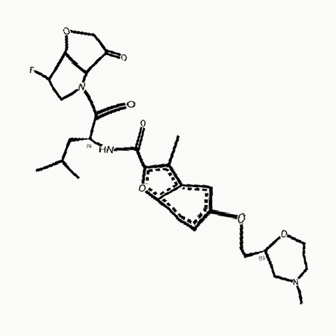 Cc1c(C(=O)N[C@@H](CC(C)C)C(=O)N2CC(F)C3OCC(=O)C32)oc2ccc(OC[C@@H]3CN(C)CCO3)cc12